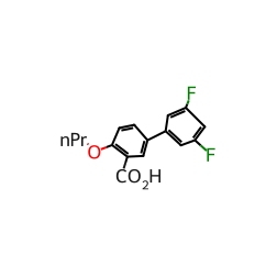 CCCOc1ccc(-c2cc(F)cc(F)c2)cc1C(=O)O